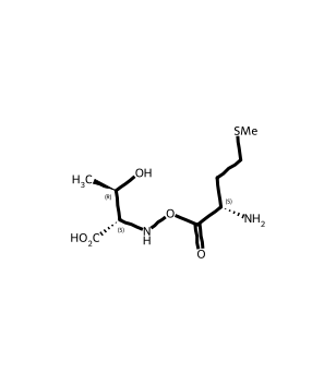 CSCC[C@H](N)C(=O)ON[C@H](C(=O)O)[C@@H](C)O